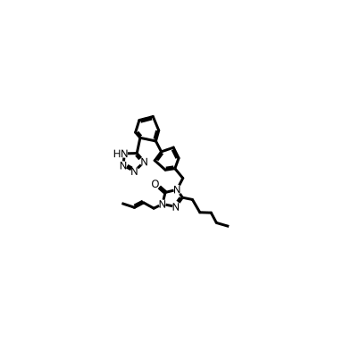 C/C=C/Cn1nc(CCCCC)n(Cc2ccc(-c3ccccc3-c3nnn[nH]3)cc2)c1=O